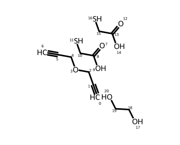 C#CCOCC#C.O=C(O)CS.O=C(O)CS.OCCO